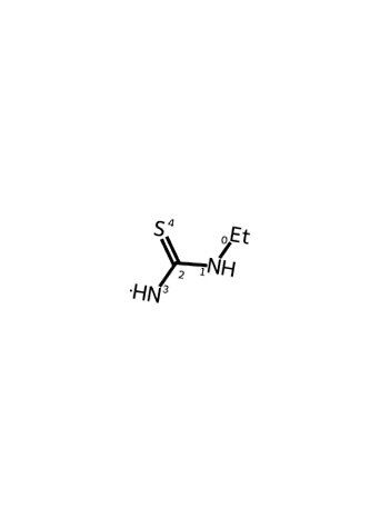 CCNC([NH])=S